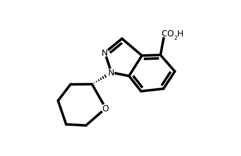 O=C(O)c1cccc2c1cnn2[C@H]1CCCCO1